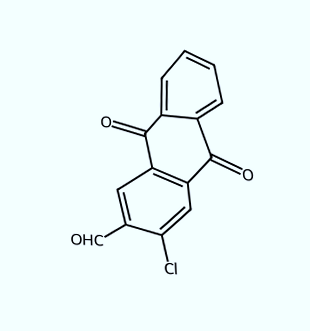 O=Cc1cc2c(cc1Cl)C(=O)c1ccccc1C2=O